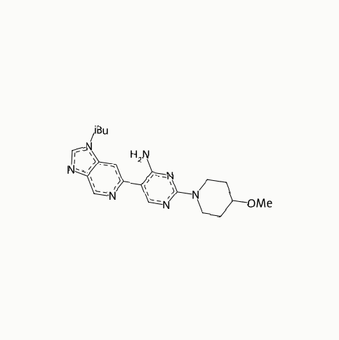 CCC(C)n1cnc2cnc(-c3cnc(N4CCC(OC)CC4)nc3N)cc21